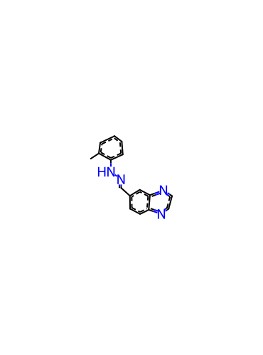 Cc1ccccc1NN=Cc1ccc2nccnc2c1